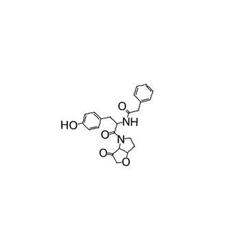 O=C(Cc1ccccc1)NC(Cc1ccc(O)cc1)C(=O)N1CCC2OCC(=O)C21